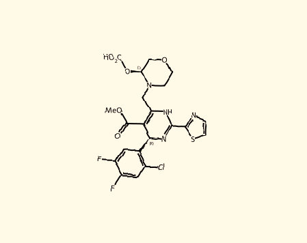 COC(=O)C1=C(CN2CCOC[C@@H]2OC(=O)O)NC(c2nccs2)=N[C@H]1c1cc(F)c(F)cc1Cl